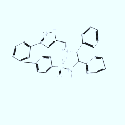 Cc1ccc(S(=O)(=O)NC(c2ccccc2)[C@H](NCc2cc(-c3ccccc3)no2)c2ccccc2)cc1